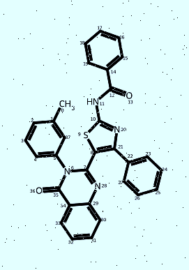 Cc1cccc(-n2c(-c3sc(NC(=O)c4ccccc4)nc3-c3ccccc3)nc3ccccc3c2=O)c1